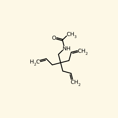 C=CCC(CC=C)(CC=C)CNC(C)=O